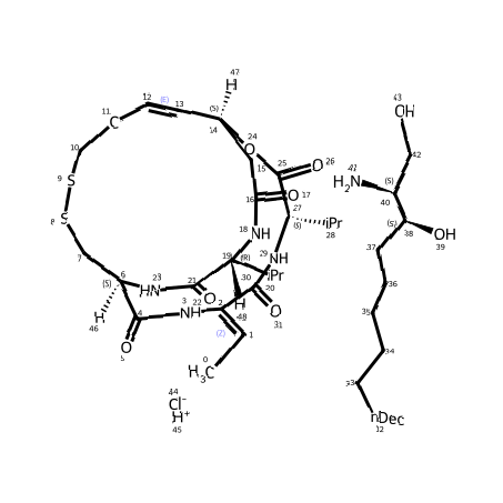 C/C=C1\NC(=O)[C@H]2CSSCC/C=C/[C@H](CC(=O)N[C@H](C(C)C)C(=O)N2)OC(=O)[C@H](C(C)C)NC1=O.CCCCCCCCCCCCCCC[C@H](O)[C@@H](N)CO.[Cl-].[H+]